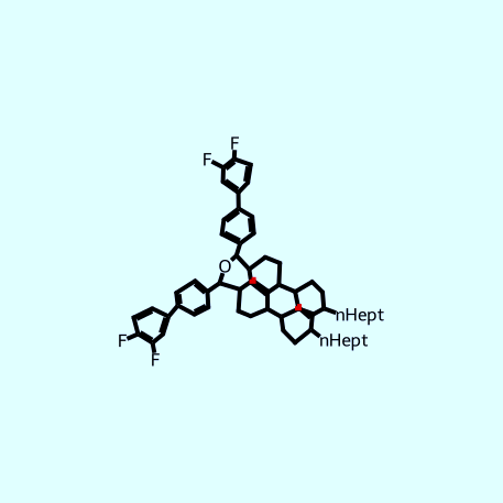 CCCCCCCC1CCC(C2CCC(C(OC(c3ccc(-c4ccc(F)c(F)c4)cc3)C3CCC(C4CCC(CCCCCCC)CC4)CC3)c3ccc(-c4ccc(F)c(F)c4)cc3)CC2)CC1